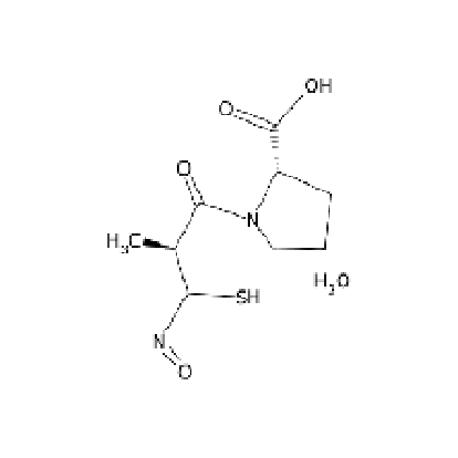 C[C@@H](C(=O)N1CCC[C@H]1C(=O)O)C(S)N=O.O